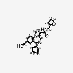 C#Cc1ccc2c(c1)C(c1ccccc1)=NCc1c(C(=O)NCC3CCCO3)ncn1-2